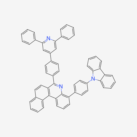 c1ccc(-c2cc(-c3ccc(-c4nc5c(-c6ccc(-n7c8ccccc8c8ccccc87)cc6)cccc5c5c4ccc4ccccc45)cc3)cc(-c3ccccc3)n2)cc1